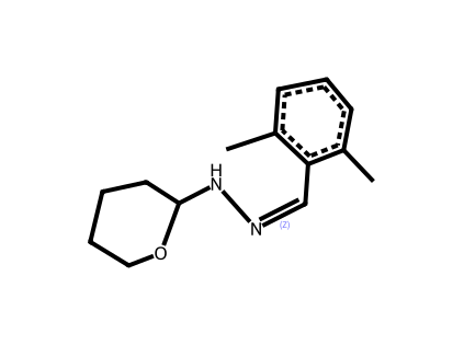 Cc1cccc(C)c1/C=N\NC1CCCCO1